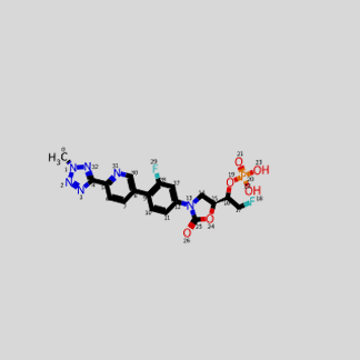 Cn1nnc(-c2ccc(-c3ccc(N4C[C@@H](C(CF)OP(=O)(O)O)OC4=O)cc3F)cn2)n1